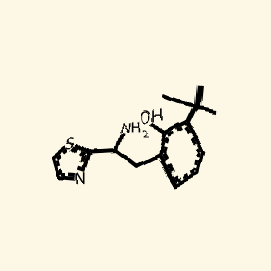 CC(C)(C)c1cccc(CC(N)c2nccs2)c1O